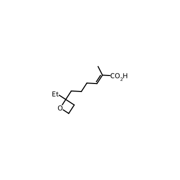 CCC1(CCCC=C(C)C(=O)O)CCO1